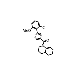 COc1cccc(Cl)c1-c1nc(C(=O)N2CCCC3CCCC=C32)cs1